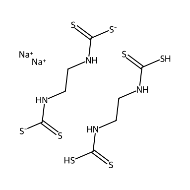 S=C(S)NCCNC(=S)S.S=C([S-])NCCNC(=S)[S-].[Na+].[Na+]